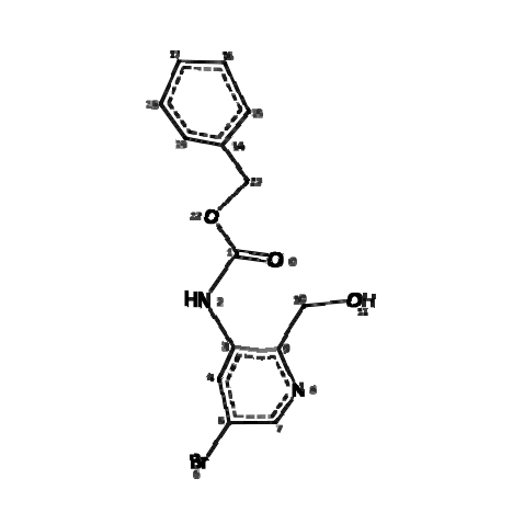 O=C(Nc1cc(Br)cnc1CO)OCc1ccccc1